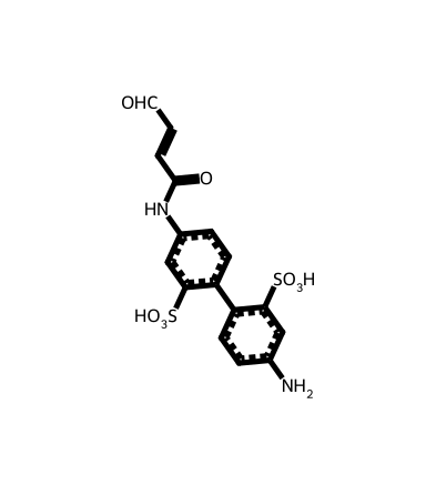 Nc1ccc(-c2ccc(NC(=O)/C=C/C=O)cc2S(=O)(=O)O)c(S(=O)(=O)O)c1